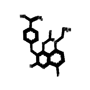 C=C(O)c1ccc(Cc2c(CC)nc3c(F)ccc(OCC(=O)O)c3c2OC(F)F)cc1